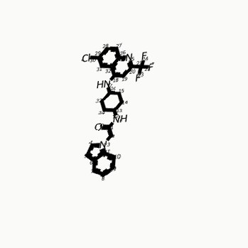 O=C(Cn1ccc2ccccc21)NC1CCC(Nc2cc(C(F)(F)F)nc3ccc(Cl)cc23)CC1